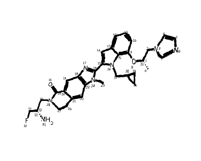 C[C@@H](Cn1ccnc1)Oc1cccc2cc(-c3nc4cc5c(cc4n3C)CCN(C[C@H](N)CF)C5=O)n(CC3CC3)c12